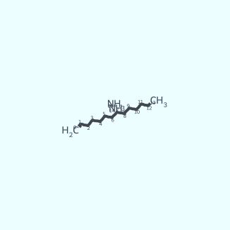 C=CCCCCCCCCCCCC.N.N